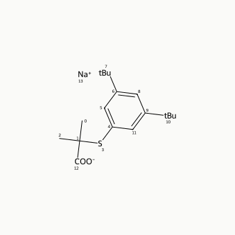 CC(C)(Sc1cc(C(C)(C)C)cc(C(C)(C)C)c1)C(=O)[O-].[Na+]